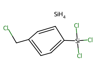 ClCc1ccc([Si](Cl)(Cl)Cl)cc1.[SiH4]